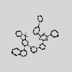 CC1(C)c2ccccc2-c2cc(-c3cccc4ccccc34)c(-c3cccc(-c4cccc(-c5nc(-c6ccccc6)nc(-c6cccc(-c7ccccc7)c6)n5)c4)c3)cc21